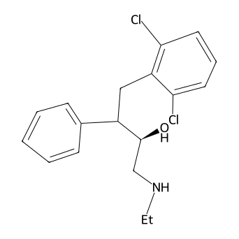 CCNC[C@H](O)C(Cc1c(Cl)cccc1Cl)c1ccccc1